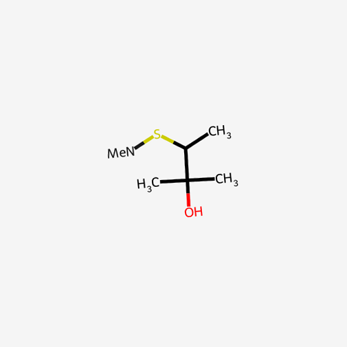 CNSC(C)C(C)(C)O